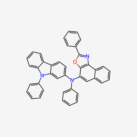 c1ccc(-c2nc3c(o2)c(N(c2ccccc2)c2ccc4c5ccccc5n(-c5ccccc5)c4c2)cc2ccccc23)cc1